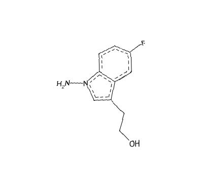 Nn1cc(CCO)c2cc(F)ccc21